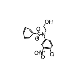 O=[N+]([O-])c1cc(N(CCO)S(=O)(=O)c2ccccc2)ccc1Cl